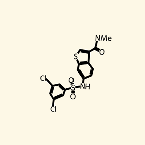 CNC(=O)c1csc2cc(NS(=O)(=O)c3cc(Cl)cc(Cl)c3)ccc12